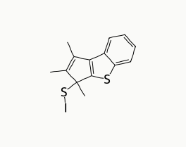 CC1=C(C)C(C)(SI)c2sc3ccccc3c21